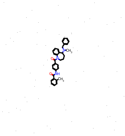 Cc1ccccc1C(=O)Nc1ccc(C(=O)N2CCCC(N(C)Cc3ccccc3)c3ccccc32)cc1